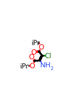 CC(C)OC(=O)/C(N)=C(/Cl)C(=O)OC(C)C